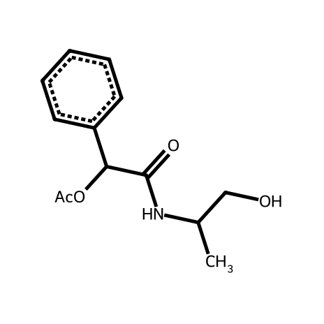 CC(=O)OC(C(=O)NC(C)CO)c1ccccc1